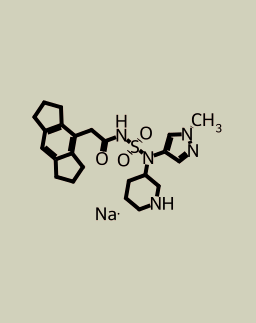 Cn1cc(N(C2CCCNC2)S(=O)(=O)NC(=O)Cc2c3c(cc4c2CCC4)CCC3)cn1.[Na]